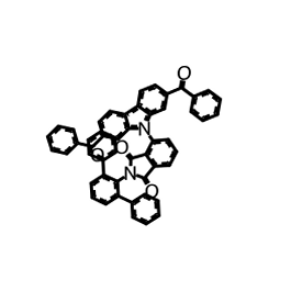 O=C(c1ccccc1)c1ccc2c3ccc(C(=O)c4ccccc4)cc3n(-c3cccc4c3C(=O)N(c3c(-c5ccccc5)cccc3-c3ccccc3)C4=O)c2c1